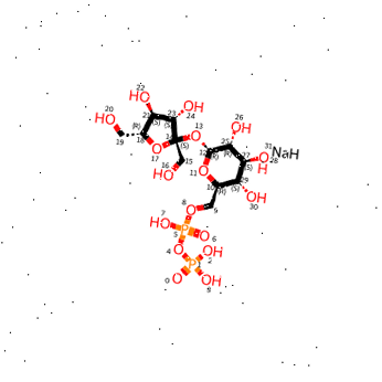 O=P(O)(O)OP(=O)(O)OC[C@H]1O[C@H](O[C@]2(CO)O[C@H](CO)[C@@H](O)[C@@H]2O)[C@H](O)[C@@H](O)[C@@H]1O.[NaH]